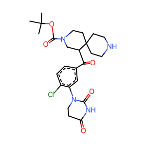 CC(C)(C)OC(=O)N1CCC2(CCNCC2)C(C(=O)c2ccc(Cl)c(N3CCC(=O)NC3=O)c2)C1